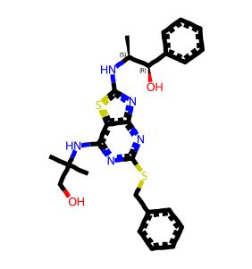 C[C@H](Nc1nc2nc(SCc3ccccc3)nc(NC(C)(C)CO)c2s1)[C@H](O)c1ccccc1